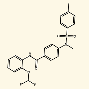 Cc1ccc(S(=O)(=O)N(C)c2ccc(C(=O)Nc3ccccc3OC(F)F)cc2)cc1